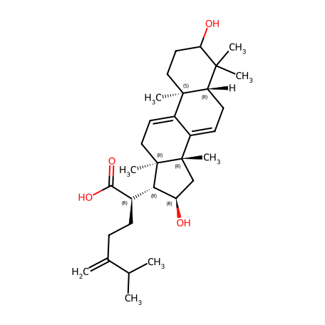 C=C(CC[C@@H](C(=O)O)[C@H]1[C@H](O)C[C@@]2(C)C3=CC[C@H]4C(C)(C)C(O)CC[C@]4(C)C3=CC[C@]12C)C(C)C